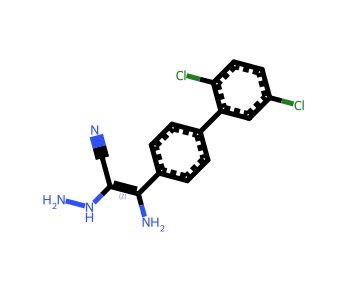 N#C/C(NN)=C(/N)c1ccc(-c2cc(Cl)ccc2Cl)cc1